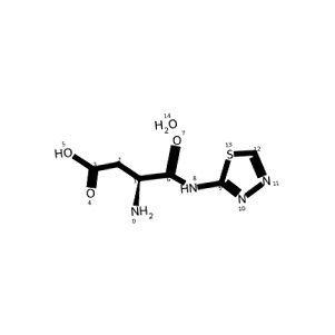 N[C@@H](CC(=O)O)C(=O)Nc1nncs1.O